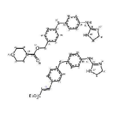 CCOC(=O)/C=C/c1ccc(Sc2ccc(NC3=NCCN3)cc2)cc1.O=C(OCc1ccc(Sc2ccc(NC3=NCCN3)cc2)cc1)N1CCOCC1